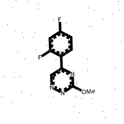 COc1nncc(-c2ccc(F)cc2F)n1